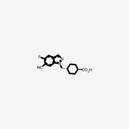 N#Cc1cc2c(cnn2C[C@H]2CC[C@H](C(=O)O)CC2)cc1F